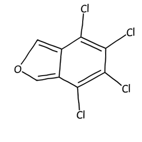 Clc1c(Cl)c(Cl)c2cocc2c1Cl